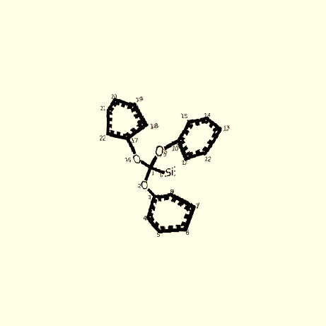 [Si]C(Oc1ccccc1)(Oc1ccccc1)Oc1ccccc1